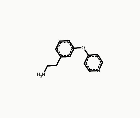 NCCc1cccc(Oc2ccncc2)c1